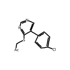 CC(=O)CSc1ncncc1-c1ccc(Cl)cc1